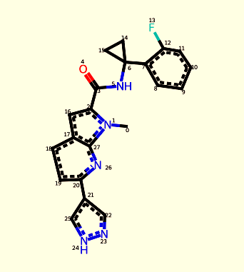 Cn1c(C(=O)NC2(c3ccccc3F)CC2)cc2ccc(-c3cn[nH]c3)nc21